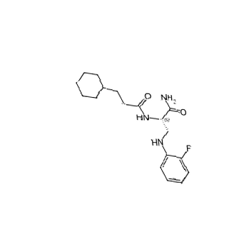 NC(=O)[C@H](CNc1ccccc1F)NC(=O)[CH]CC1CCCCC1